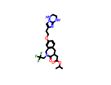 CC(C)OC(=O)CC1Cc2ccc(OCCc3cn4c(n3)NCCN4)cc2CN(CC(F)(F)F)C1=O